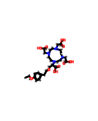 CCOc1ccc(CCOCC(C(=O)O)N2CCN(CC(=O)O)CCN(CC(=O)O)CCN(CC(=O)O)CC2)cc1